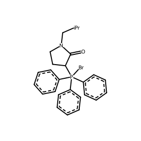 CC(C)CN1CCC(P(Br)(c2ccccc2)(c2ccccc2)c2ccccc2)C1=O